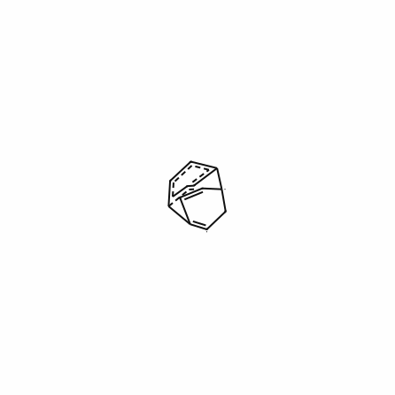 [C]1=C2C=C[C](C1)c1ccc2cc1